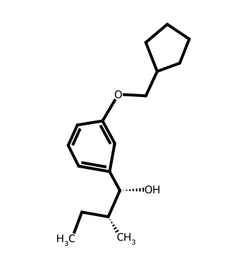 CC[C@@H](C)[C@@H](O)c1cccc(OCC2CCCC2)c1